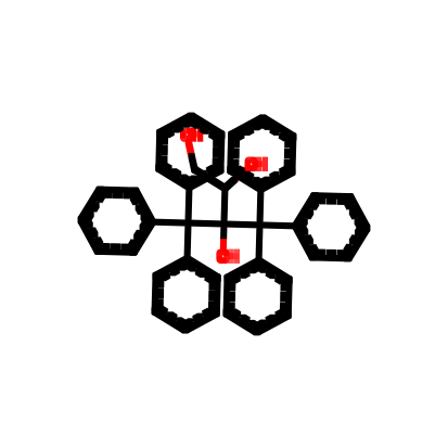 OCC(O)C(O)(C(c1ccccc1)(c1ccccc1)c1ccccc1)C(c1ccccc1)(c1ccccc1)c1ccccc1